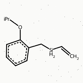 C=C[SiH2]Cc1ccccc1OC(C)C